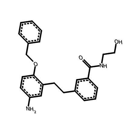 Nc1ccc(OCc2ccccc2)c(CCc2cccc(C(=O)NCCO)c2)c1